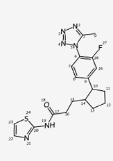 Cc1nnnn1-c1ccc(C2CCCC2CCC(=O)Nc2nccs2)cc1F